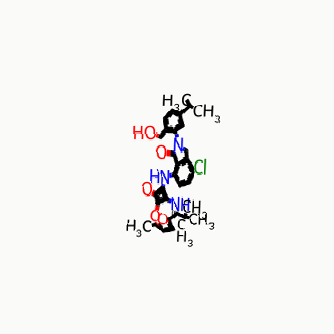 Cc1ccc([C@H](Nc2c(Nc3ccc(Cl)c4c3C(=O)N(c3cc(C(C)C)ccc3CO)C4)c(=O)c2=O)C(C)(C)C)o1